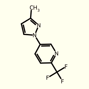 Cc1ccn(-c2ccc(C(F)(F)F)nc2)n1